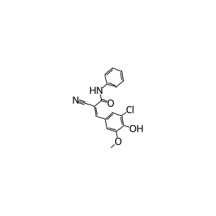 COc1cc(C=C(C#N)C(=O)Nc2ccccc2)cc(Cl)c1O